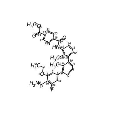 CCOc1cc(-c2cccc(-c3cccc(NC(=O)c4ccc(C(=O)OC)cn4)c3C)c2C)cc(F)c1CN